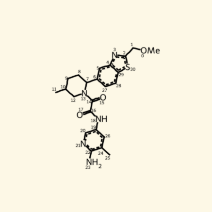 COCc1nc2cc(C3CCC(C)CN3C(=O)C(=O)Nc3cnc(N)c(C)c3)ccc2s1